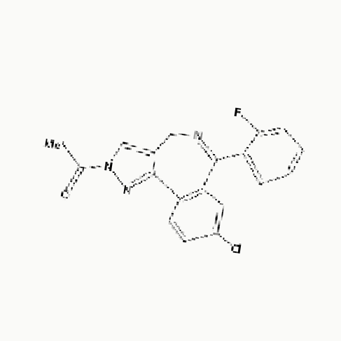 CNC(=O)n1cc2c(n1)-c1ccc(Cl)cc1C(c1ccccc1F)=NC2